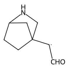 O=C[CH]C12CCC(C1)NC2